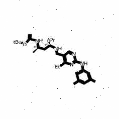 C=C(N[C@H](C)C[C@@H](CCC)NCc1cnc(Nc2cc(C)cc(C)c2)nc1CC)OC(C)(C)C